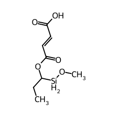 CCC(OC(=O)C=CC(=O)O)[SiH2]OC